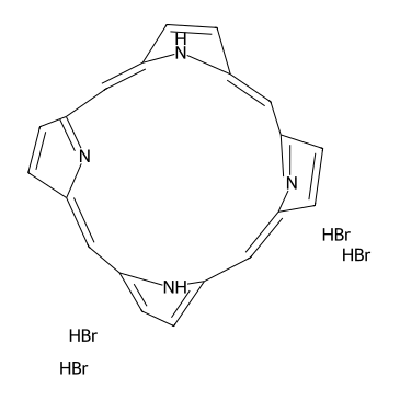 Br.Br.Br.Br.C1=Cc2cc3ccc(cc4nc(cc5ccc(cc1n2)[nH]5)C=C4)[nH]3